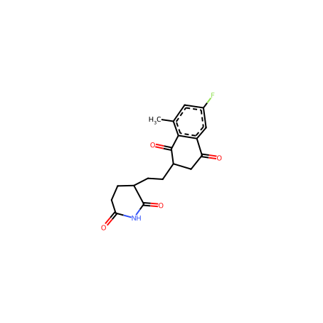 Cc1cc(F)cc2c1C(=O)C(CCC1CCC(=O)NC1=O)CC2=O